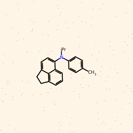 Cc1ccc(N(c2ccc3c4c(cccc24)CC3)C(C)C)cc1